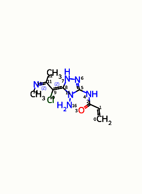 C=CC(=O)NC1=NN/C(=C(Cl)\C(C)=N/C)N1N